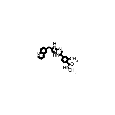 CNC(=O)c1ccc(C(=N)/C=N\c2ncc(Cc3ccc4ncccc4c3)[nH]2)cc1C